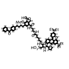 CCN(CC)c1ccc2c(-c3ccccc3C(=O)N3CCCC3C(=O)NC(CS(=O)(=O)O)C(=O)NCCCCCC(=O)NCCNC(=O)c3cc(CCCCc4ccc(C(=O)c5ccccc5)cc4)c(OC)c4c3COB4O)c3ccc(N(CC)CC)cc3[o+]c2c1